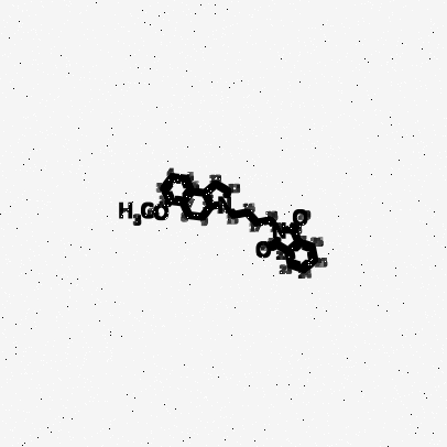 COc1cccc2c1CCC1C2CCN1CCCCN1C(=O)c2ccccc2C1=O